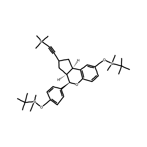 CC(C)(C)[Si](C)(C)Oc1ccc([C@@H]2Oc3ccc(O[Si](C)(C)C(C)(C)C)cc3[C@@H]3CC(C#C[Si](C)(C)C)C[C@@H]32)cc1